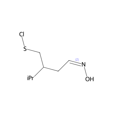 CC(C)C(C/C=N\O)CSCl